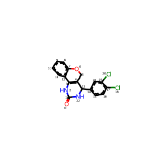 O=C1NC2=C(COc3ccccc32)C(c2ccc(Cl)c(Cl)c2)N1